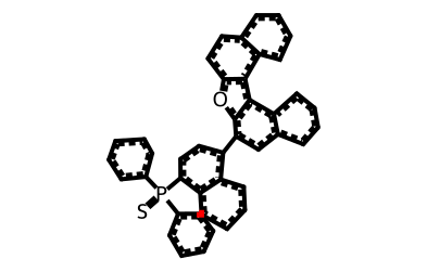 S=P(c1ccccc1)(c1ccccc1)c1ccc(-c2cc3ccccc3c3c2oc2ccc4ccccc4c23)c2ccccc12